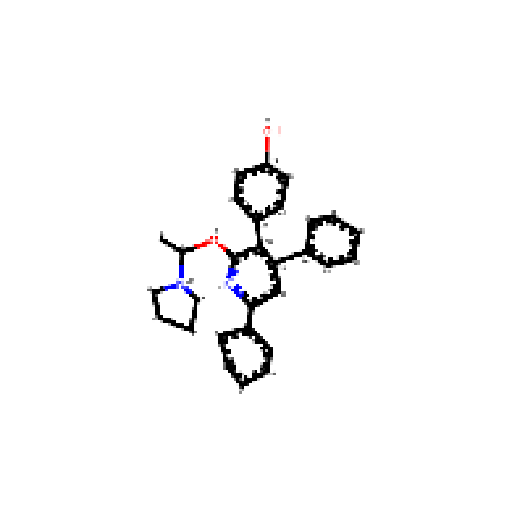 CC(Oc1nc(-c2ccccc2)cc(-c2ccccc2)c1-c1ccc(O)cc1)N1CCCC1